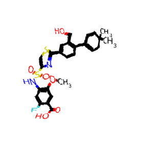 COc1cc(C(=O)O)c(F)cc1NS(=O)(=O)c1csc(-c2ccc(C3=CCC(C)(C)CC3)c(CO)c2)n1